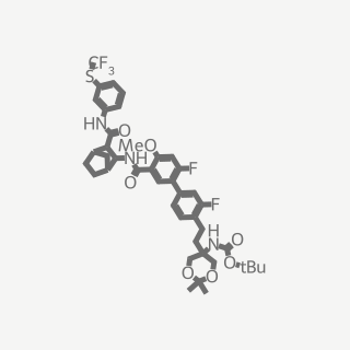 COc1cc(F)c(-c2ccc(CCC3(NC(=O)OC(C)(C)C)COC(C)(C)OC3)c(F)c2)cc1C(=O)NC1C2CCC(C2)C1C(=O)Nc1cccc(SC(F)(F)F)c1